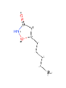 CC(C)(C)CCCCC1CC(=O)NO1